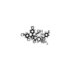 NC(=O)C1(NCc2ccc(F)cc2)CCN(C(=O)c2sc(-c3ccc(Cl)cc3Cl)c(-c3ccc(Cl)cc3)c2OCCO)CC1